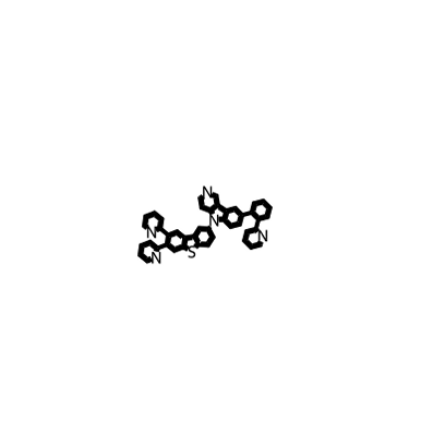 c1ccc(-c2ccccc2-c2ccc3c(c2)c2cnccc2n3-c2ccc3sc4cc(-c5ccccn5)c(-c5ccccn5)cc4c3c2)nc1